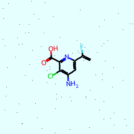 C=C(F)c1cc(N)c(Cl)c(C(=O)O)n1